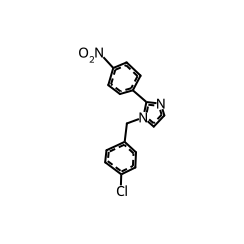 O=[N+]([O-])c1ccc(-c2nccn2Cc2ccc(Cl)cc2)cc1